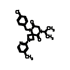 Cc1ccnc(N2CC3(C2)C(=O)N(C(C)C)CC(=O)N3Cc2ccc(Cl)cc2)c1